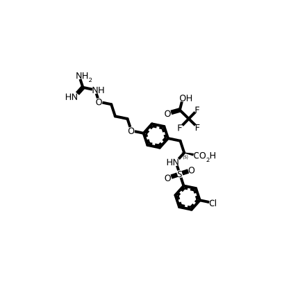 N=C(N)NOCCCOc1ccc(C[C@H](NS(=O)(=O)c2cccc(Cl)c2)C(=O)O)cc1.O=C(O)C(F)(F)F